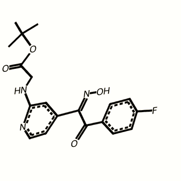 CC(C)(C)OC(=O)CNc1cc(C(=NO)C(=O)c2ccc(F)cc2)ccn1